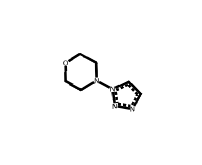 c1cn(N2CCOCC2)nn1